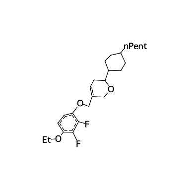 CCCCCC1CCC(C2CC=C(COc3ccc(OCC)c(F)c3F)CO2)CC1